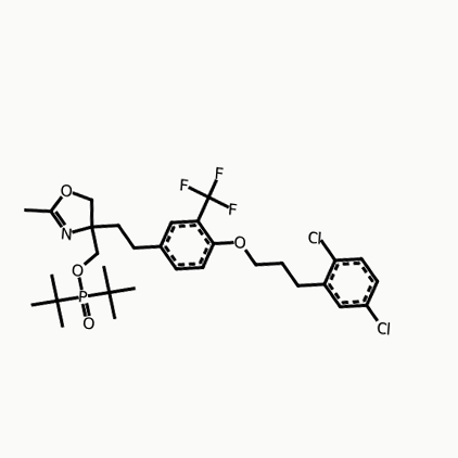 CC1=NC(CCc2ccc(OCCCc3cc(Cl)ccc3Cl)c(C(F)(F)F)c2)(COP(=O)(C(C)(C)C)C(C)(C)C)CO1